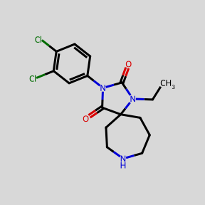 CCN1C(=O)N(c2ccc(Cl)c(Cl)c2)C(=O)C12CCCNCC2